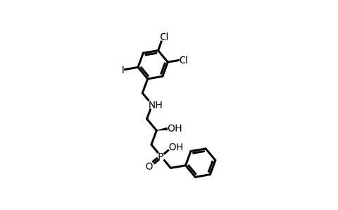 O=P(O)(Cc1ccccc1)C[C@H](O)CNCc1cc(Cl)c(Cl)cc1I